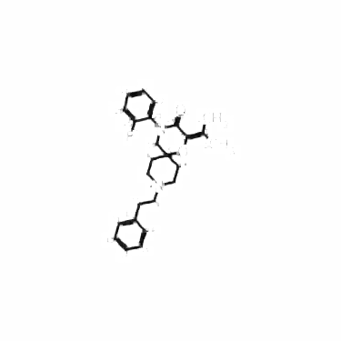 CC(C)=C1OC2(CCN(CCc3ccccc3)CC2)CN(c2ccccc2F)C1=O